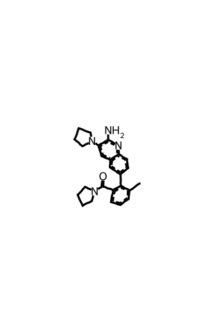 Cc1cccc(C(=O)N2CCCC2)c1-c1ccc2nc(N)c(N3CCCC3)cc2c1